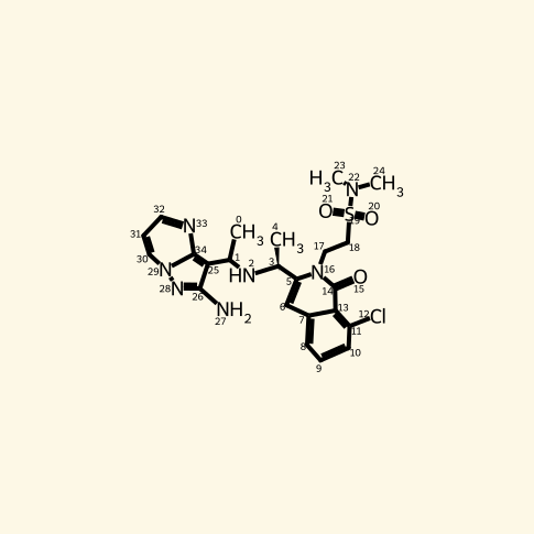 CC(N[C@@H](C)c1cc2cccc(Cl)c2c(=O)n1CCS(=O)(=O)N(C)C)c1c(N)nn2cccnc12